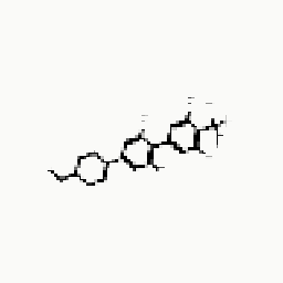 CCC1CCC(c2cc(F)c(-c3cc(F)c(C(F)(F)F)c(F)c3)c(F)c2)CC1